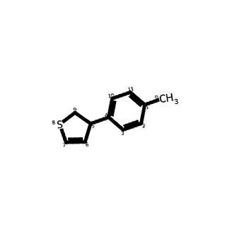 Cc1ccc(C2C=CSC2)cc1